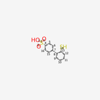 O=S(=O)(O)c1ccc(-c2ccccc2S)cc1